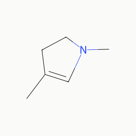 CC1=CN(C)CC1